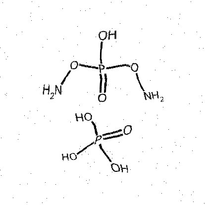 NOP(=O)(O)ON.O=P(O)(O)O